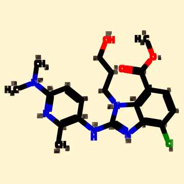 COC(=O)c1ccc(Cl)c2nc(Nc3ccc(N(C)C)nc3C)n(CCCO)c12